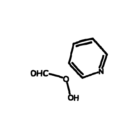 O=COO.c1ccncc1